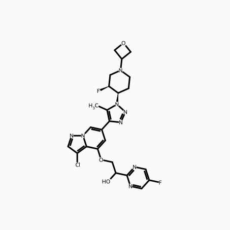 Cc1c(-c2cc(OCC(O)c3ncc(F)cn3)c3c(Cl)cnn3c2)nnn1[C@@H]1CCN(C2COC2)C[C@@H]1F